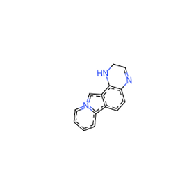 C1=Nc2ccc3c(cn4ccccc34)c2NC1